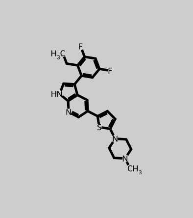 CCc1c(F)cc(F)cc1-c1c[nH]c2ncc(-c3ccc(N4CCN(C)CC4)s3)cc12